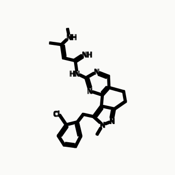 CN/C(C)=C\C(=N)Nc1ncc2c(n1)-c1c(nn(C)c1Cc1ccccc1Cl)CC2